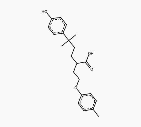 Cc1ccc(OCCC(CCC(C)(C)c2ccc(O)cc2)C(=O)O)cc1